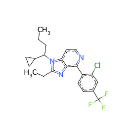 CCCC(C1CC1)n1c(CC)nc2c(-c3ccc(C(F)(F)F)cc3Cl)nccc21